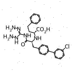 N/N=C(\NN)NC(=O)[C@H](Cc1ccc(-c2cccc(Cl)c2)cc1)N[C@@H](CCc1ccccc1)C(=O)O